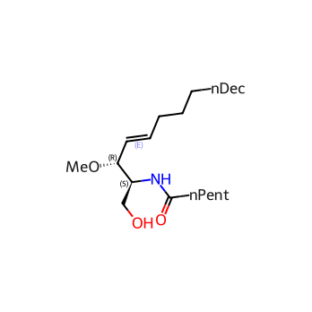 CCCCCCCCCCCCC/C=C/[C@@H](OC)[C@H](CO)NC(=O)CCCCC